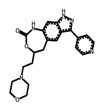 O=C1Nc2cc3[nH]nc(-c4ccncc4)c3cc2CC(CCN2CCOCC2)O1